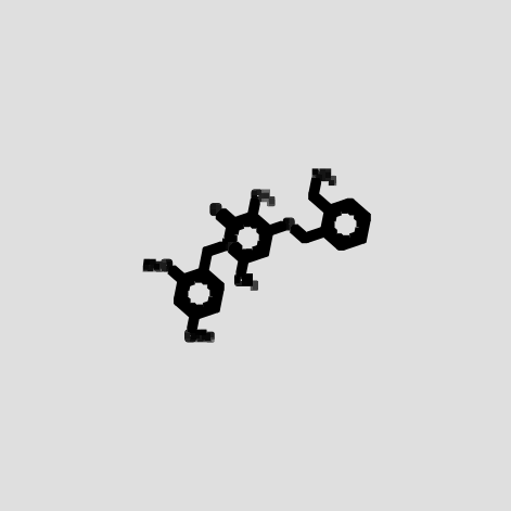 COc1ccc(Cn2c(C)cc(OCc3ccccc3CN)c(C)c2=O)c(OC)c1